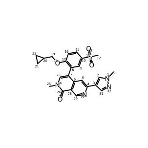 Cn1cc(-c2cc3c(-c4cc(S(C)(=O)=O)ccc4OCC4CC4)cn(C)c(=O)c3cn2)cn1